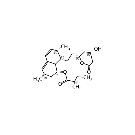 CC[C@H](C)C(=O)O[C@H]1C[C@@H](C)C=C2C=C[C@H](C)[C@H](CC[C@@H]3C[C@H](O)CC(=O)O3)C21